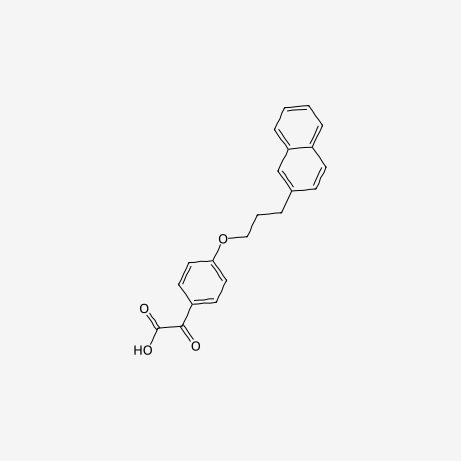 O=C(O)C(=O)c1ccc(OCCCc2ccc3ccccc3c2)cc1